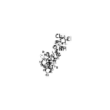 CC(C)(C)OC(=O)N1C[C@@H](C(=O)NC(C)(C)c2cc(Cl)cc(Cl)c2F)OC[C@H]1CO[Si](c1ccccc1)(c1ccccc1)C(C)(C)C